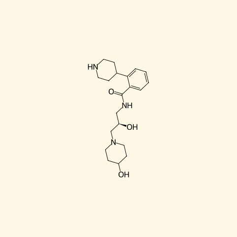 O=C(NC[C@@H](O)CN1CCC(O)CC1)c1ccccc1C1CCNCC1